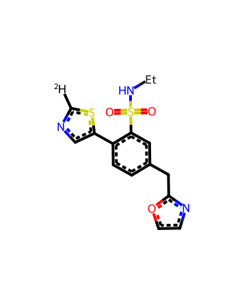 [2H]c1ncc(-c2ccc(Cc3ncco3)cc2S(=O)(=O)NCC)s1